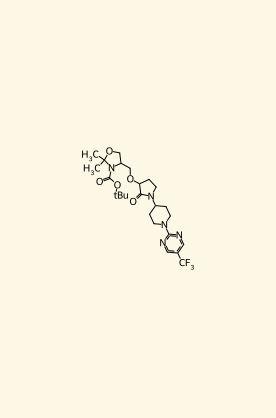 CC(C)(C)OC(=O)N1C(COC2CCN(C3CCN(c4ncc(C(F)(F)F)cn4)CC3)C2=O)COC1(C)C